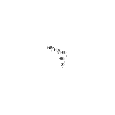 Br.Br.Br.Br.[Zr]